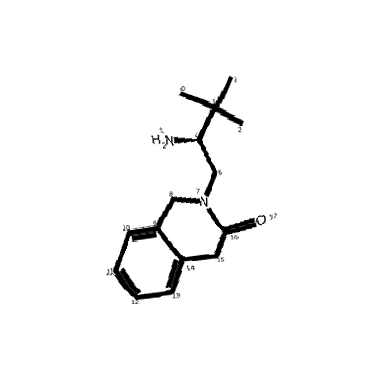 CC(C)(C)[C@H](N)CN1Cc2ccccc2CC1=O